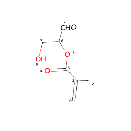 C=C(C)C(=O)OC(C=O)CO